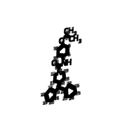 CC(C)Oc1ccc(NC(=O)N2CCC(=C(c3ccccc3)c3ccccc3)CC2)cc1